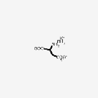 NC(CC(=O)[O-])C(=O)[O-].O.[K+].[K+]